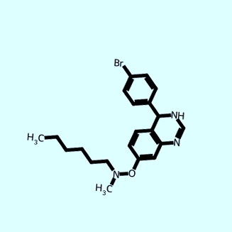 CCCCCCN(C)Oc1ccc2c(c1)N=CNC2c1ccc(Br)cc1